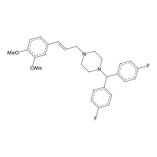 COc1ccc(C=CCN2CCN(C(c3ccc(F)cc3)c3ccc(F)cc3)CC2)cc1OC